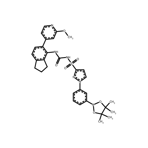 COc1cc(-c2ccc3c(c2NC(=O)NS(=O)(=O)c2ccn(-c4cccc(B5OC(C)(C)C(C)(C)O5)c4)n2)CCC3)ccn1